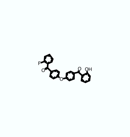 O=C(c1ccc(Oc2ccc(C(=O)c3ccccc3F)cc2)cc1)c1ccccc1O